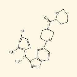 C[C@H](c1ccc(Cl)cc1C(F)(F)F)n1ncc2ccc(C3=CCN(C(=O)C4CCCCN4)CC3)cc21